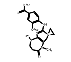 CNC(=O)c1ccc(NC2=NC3=C(C[N+]24CC4)N(C)C(=O)CCN3C(C)C)c(OC)c1